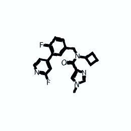 Cn1cnc(C(=O)N(Cc2ccc(F)c(-c3ccnc(F)c3)c2)C2CCC2)c1